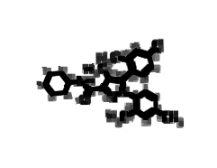 Cc1ccc(-n2nc(C(=O)NC3CCCCC3)c(C)c2-c2ccc(Cl)cc2C)c(C)c1